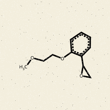 COCCOc1ccccc1C1CO1